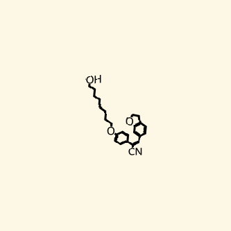 N#CC(=Cc1ccc2c(c1)OCC2)c1ccc(OCCCCCCCCO)cc1